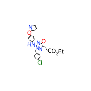 CCOC(=O)CCc1nn(Cc2ccc(Cl)cc2)c(Nc2ccc(Oc3ccccn3)cc2)nc1=O